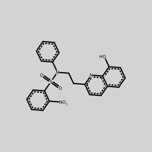 O=[N+]([O-])c1ccccc1S(=O)(=O)N(CCc1ccc2cccc(O)c2n1)c1ccccc1